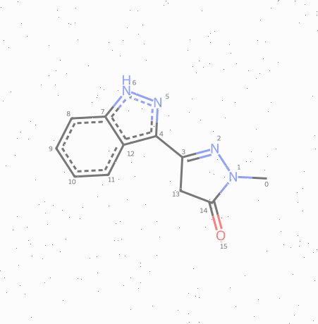 CN1N=C(c2n[nH]c3ccccc23)CC1=O